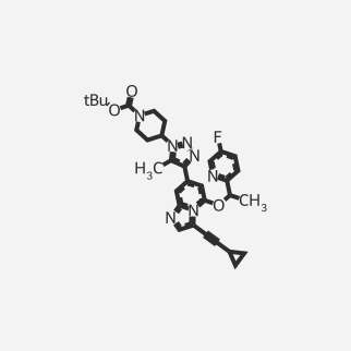 Cc1c(-c2cc(OC(C)c3ccc(F)cn3)n3c(C#CC4CC4)cnc3c2)nnn1C1CCN(C(=O)OC(C)(C)C)CC1